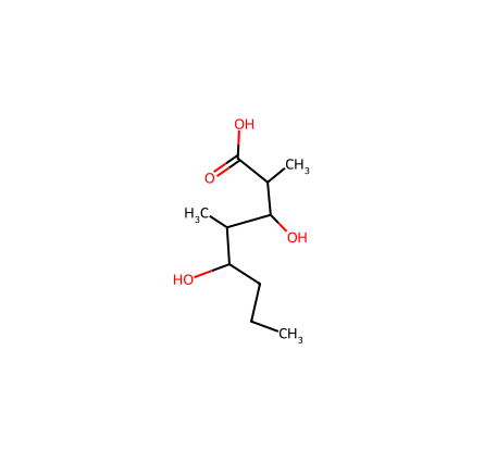 CCCC(O)C(C)C(O)C(C)C(=O)O